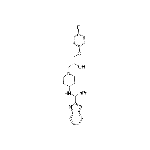 CCCC(NC1CCN(CC(O)COc2ccc(F)cc2)CC1)c1nc2ccccc2s1